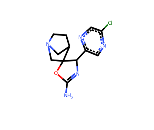 NC1=NC(c2cnc(Cl)cn2)C2(CN3CCC2C3)O1